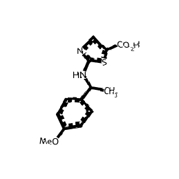 COc1ccc(C(C)Nc2ncc(C(=O)O)s2)cc1